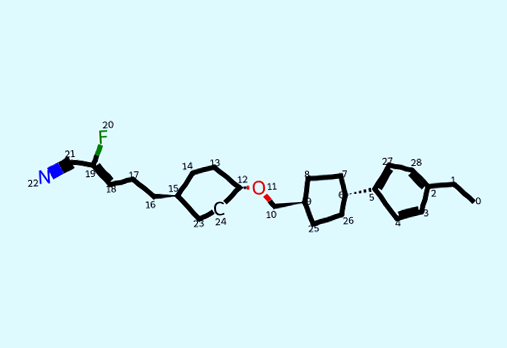 CCc1ccc([C@H]2CC[C@H](CO[C@H]3CC[C@H](CC/C=C(\F)C#N)CC3)CC2)cc1